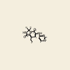 CCc1cc(Nc2ccncn2)c(=O)n2c1C(=O)NC2(C)C